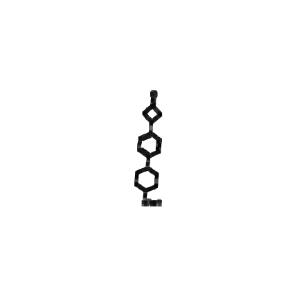 CCCCCC1CCC(c2ccc(C3CC(=O)C3)cc2)CC1